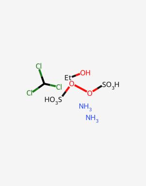 CCO.ClC(Cl)Cl.N.N.O=S(=O)(O)OOS(=O)(=O)O